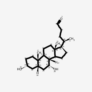 C[C@H](CCC=O)[C@H]1CCC2[C@H]3C(CC[C@@]21C)[C@@]1(C)CC[C@@H](O)C[C@H]1C[C@H]3O